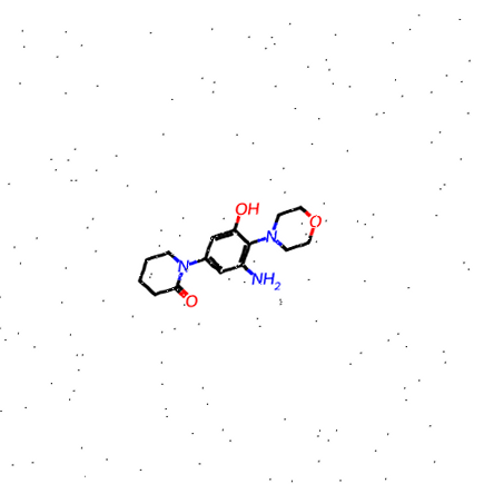 Nc1cc(N2CCCCC2=O)cc(O)c1N1CCOCC1